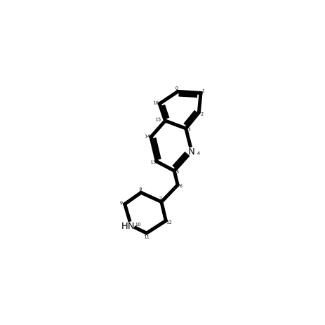 c1ccc2nc(CC3CCNCC3)ccc2c1